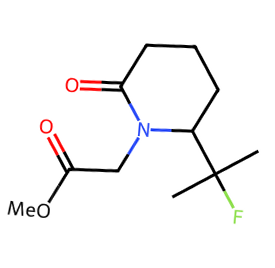 COC(=O)CN1C(=O)CCCC1C(C)(C)F